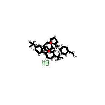 Cl.Cl.[CH2]=[Zr]([C]1=CC=CC1)([c]1ccccc1)([c]1ccc(CC)cc1)[c]1c(C(C)(C)C)ccc2c1Cc1cc(C(C)(C)C)ccc1-2